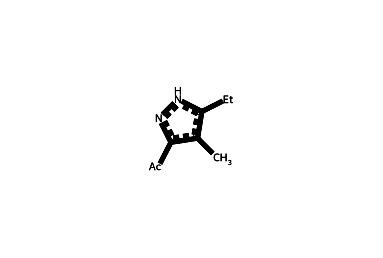 CCc1[nH]nc(C(C)=O)c1C